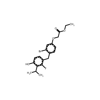 CCOC(=O)COc1ccc(Cc2ccc(O)c(C(C)C)c2F)c(Br)c1